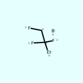 C[CH]C(F)(F)CF.[B]